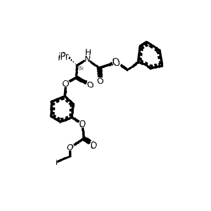 CC(C)[C@H](NC(=O)OCc1ccccc1)C(=O)Oc1cccc(OC(=O)OCI)c1